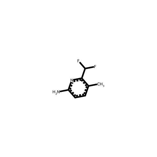 Cc1ccc(N)nc1C(F)F